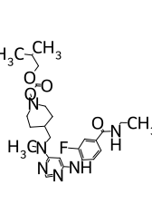 CCNC(=O)c1ccc(Nc2cc(N(C)CC3CCN(OC(=O)OCC(C)C)CC3)ncn2)c(F)c1